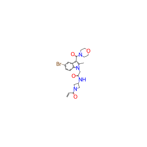 C=CC(=O)N1CC(NC(=O)Cn2c(C)c(C(=O)N3CCOCC3)c3cc(Br)ccc32)C1